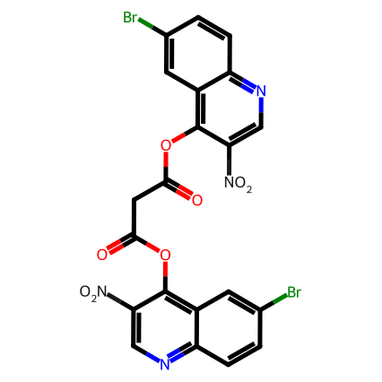 O=C(CC(=O)Oc1c([N+](=O)[O-])cnc2ccc(Br)cc12)Oc1c([N+](=O)[O-])cnc2ccc(Br)cc12